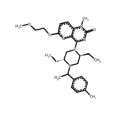 CC[C@H]1CN(C(C)c2ccc(C)cc2)[C@H](CC)CN1c1nc(=O)n(C)c2ccc(OCCOC)nc12